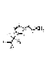 CCCN1C=CN(C(F)(F)C(F)F)C1